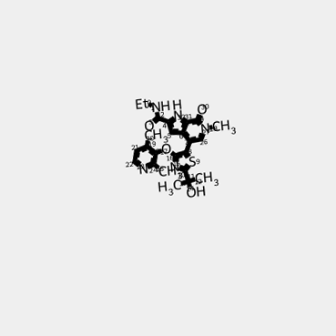 CCNC(=O)c1cc2c(-c3sc(C(C)(C)O)nc3Oc3c(C)ccnc3C)cn(C)c(=O)c2[nH]1